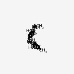 CCC1CCC2(CC1)OC(=O)C(N=Nc1nnc(CC3CCC4(CC3)OC(=O)C(N=Nc3nnc(C)[nH]3)=C(O)O4)[nH]1)=C(O)O2